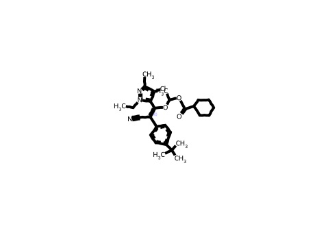 CCn1nc(C)c(Cl)c1/C(OC(C)OC(=O)C1CCCCC1)=C(\C#N)c1ccc(C(C)(C)C)cc1